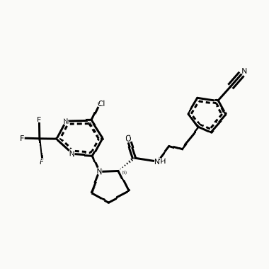 N#Cc1ccc(CCNC(=O)[C@@H]2CCCN2c2cc(Cl)nc(C(F)(F)F)n2)cc1